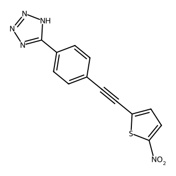 O=[N+]([O-])c1ccc(C#Cc2ccc(-c3nnn[nH]3)cc2)s1